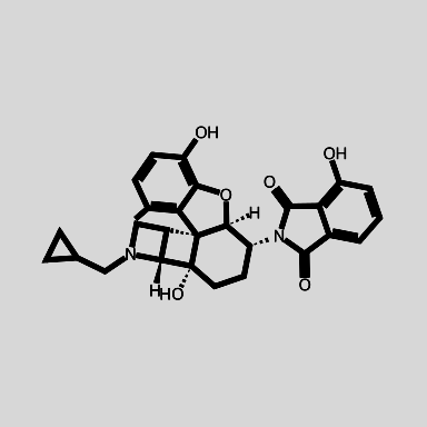 Cc1ccc(O)c2c1[C@]13C4CN(CC5CC5)[C@H]4[C@]1(O)CC[C@@H](N1C(=O)c4cccc(O)c4C1=O)[C@@H]3O2